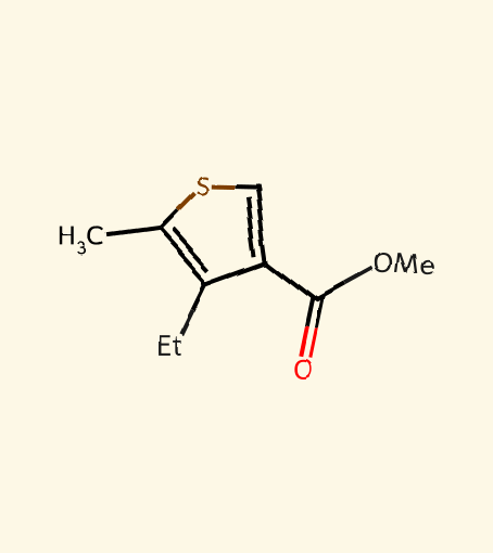 CCc1c(C(=O)OC)csc1C